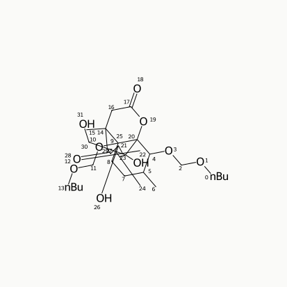 CCCCOCOC1C(C)CCC2(OCOCCCC)C3(C)CC(=O)OC12C1(O)C(C)=C(O)C(=O)C31CO